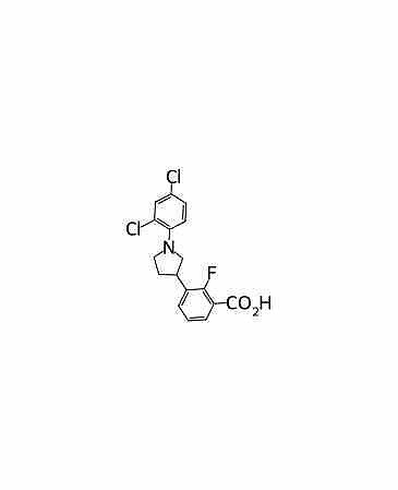 O=C(O)c1cccc(C2CCN(c3ccc(Cl)cc3Cl)C2)c1F